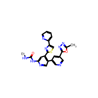 CCNC(=O)Nc1cc(-c2nc(-c3ccccn3)cs2)c(-c2cncc(-c3nnc(C)o3)c2)cn1